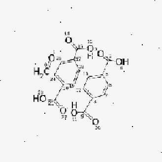 C=O.O=C(O)c1ccc(C(=O)O)cc1.O=C(O)c1ccc(C(=O)O)cc1